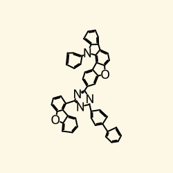 c1ccc(-c2ccc(-c3nc(-c4ccc5c(c4)oc4ccc6c7ccccc7n(-c7ccccc7)c6c45)nc(-c4cccc5oc6ccccc6c45)n3)cc2)cc1